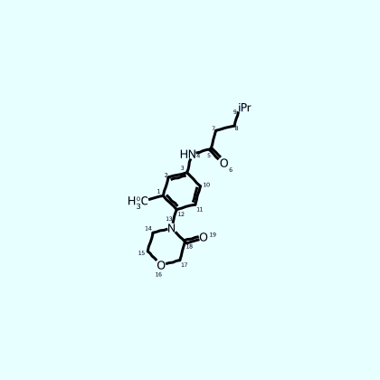 Cc1cc(NC(=O)CCC(C)C)ccc1N1CCOCC1=O